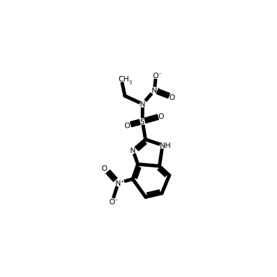 CCN([N+](=O)[O-])S(=O)(=O)c1nc2c([N+](=O)[O-])cccc2[nH]1